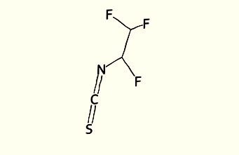 FC(F)C(F)N=C=S